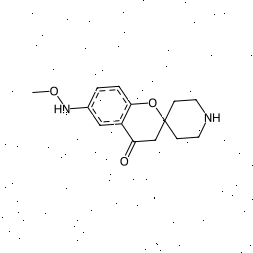 CONc1ccc2c(c1)C(=O)CC1(CCNCC1)O2